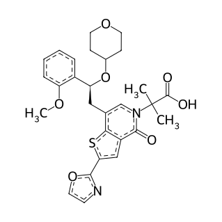 COc1ccccc1[C@H](Cc1cn(C(C)(C)C(=O)O)c(=O)c2cc(-c3ncco3)sc12)OC1CCOCC1